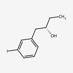 CC[C@H](O)Cc1cccc(I)c1